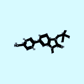 Cn1c(=O)n(CC(C)(C)C)c2ccc(-c3cnc(O)cn3)cc21